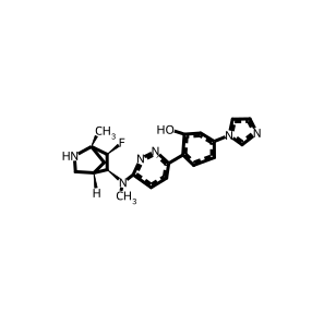 CN(c1ccc(-c2ccc(-n3ccnc3)cc2O)nn1)[C@H]1[C@@H]2CN[C@@](C)(C2)[C@H]1F